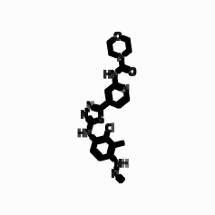 C=NNc1ccc(Nc2nnc(-c3ccnc(NC(=O)N4CCOCC4)c3)s2)c(Cl)c1C